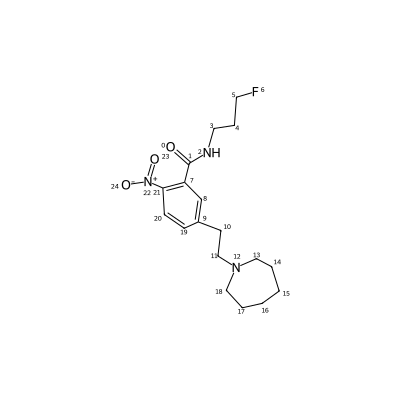 O=C(NCCCF)c1cc(CCN2CCCCCC2)ccc1[N+](=O)[O-]